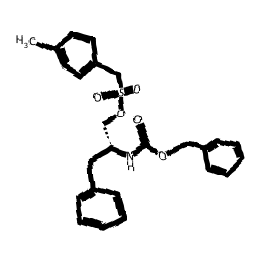 Cc1ccc(CS(=O)(=O)OC[C@@H](Cc2ccccc2)NC(=O)OCc2ccccc2)cc1